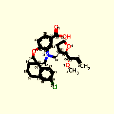 C=C[C@H](OC)[C@@H]1OCC[C@H]1CN1C[C@@]2(CCCc3cc(Cl)ccc32)COc2ccc(C(=O)O)cc21